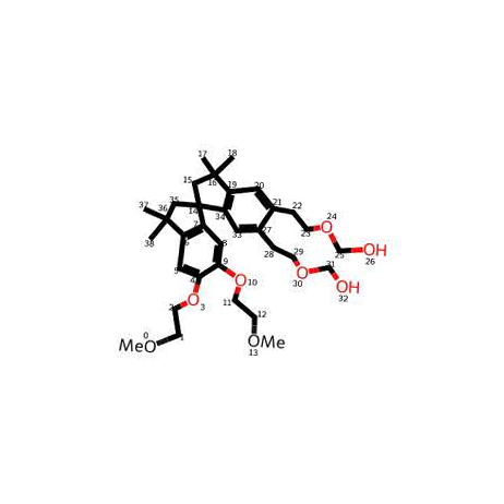 COCCOc1cc2c(cc1OCCOC)C1(CC(C)(C)c3cc(CCOCO)c(CCOCO)cc31)CC2(C)C